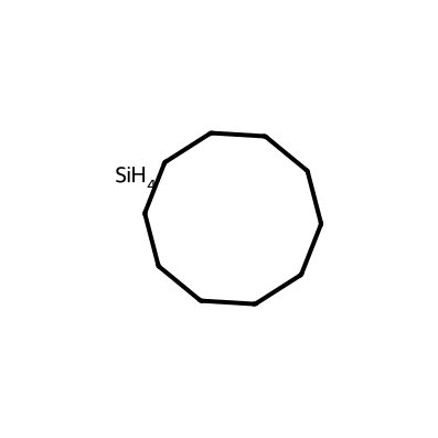 C1CCCCCCCCC1.[SiH4]